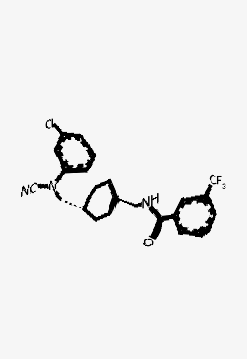 N#CN(C[C@H]1CC[C@H](NC(=O)c2cccc(C(F)(F)F)c2)CC1)c1cccc(Cl)c1